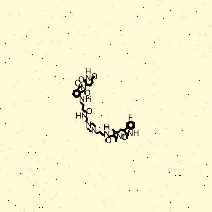 Cc1[nH]c(/C=C2\C(=O)Nc3ccc(F)cc32)c(C)c1C(=O)NCCCN1CCN(CCNC(=O)CCCNc2cccc3c2C(=O)N(C2CCC(=O)NC2=O)C3=O)CC1